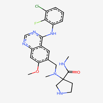 CNC(=O)C1(N(C)Cc2cc3c(Nc4cccc(Cl)c4F)ncnc3cc2OC)CCNC1